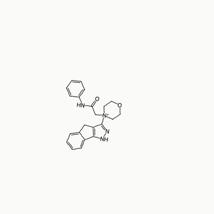 O=C(C[N+]1(c2n[nH]c3c2Cc2ccccc2-3)CCOCC1)Nc1ccccc1